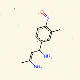 C/C(N)=C/C(N)c1ccc(N=O)c(C)c1